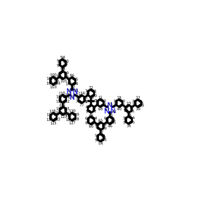 CC(C)(c1ccccc1-c1cccc(-c2nc(-c3cccc(-c4cc(-c5ccccc5)cc(-c5ccccc5)c4)c3)nc(-c3cccc(-c4cc(-c5ccccc5)cc(-c5ccccc5)c4)c3)n2)c1)c1ccccc1-c1cccc(-c2nc(-c3cccc(-c4cc(-c5ccccc5)cc(-c5ccccc5)c4)c3)nc(-c3cccc(-c4cc(-c5ccccc5)cc(-c5ccccc5)c4)c3)n2)c1